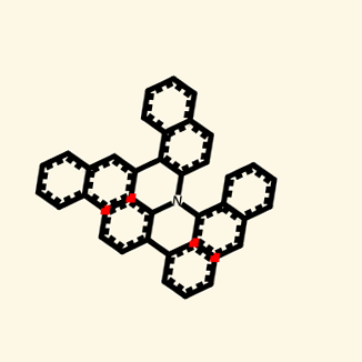 c1ccc(-c2ccccc2N(c2ccc3ccccc3c2-c2ccc3ccccc3c2)c2cccc3ccccc23)cc1